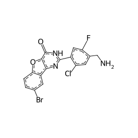 NCc1cc(Cl)c(-c2nc3c(oc4ccc(Br)cc43)c(=O)[nH]2)cc1F